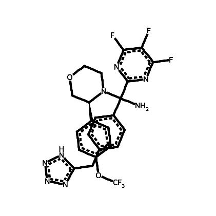 NC(c1ccc(Cc2nnn[nH]2)cc1)(c1nc(F)c(F)c(F)n1)N1CCOC[C@@H]1c1ccc(OC(F)(F)F)cc1